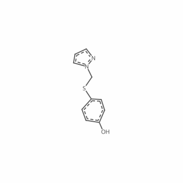 Oc1ccc(SCn2cccn2)cc1